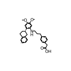 COc1cc(NCCCc2ccc(CC(=O)O)cc2)c([C@@H]2CCc3c[c]ccc3C2)cc1OC